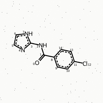 O=C(Nc1ncc[nH]1)c1ccc(Cl)cc1